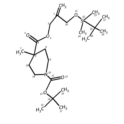 C=C(COC(=O)C1(C)CCN(C(=O)OC(C)(C)C)CC1)CO[Si](C)(C)C(C)(C)C